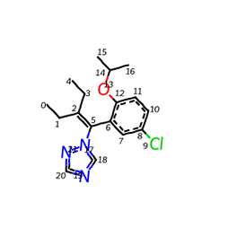 CCC(CC)=C(c1cc(Cl)ccc1OC(C)C)n1cncn1